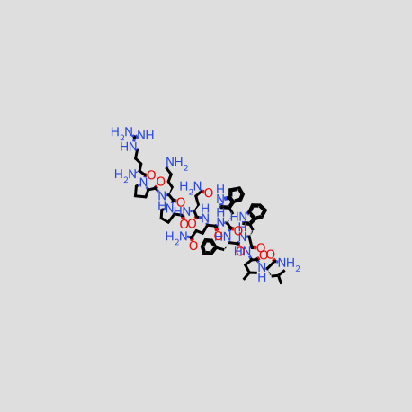 CC(C)CC(NC(=O)[C@@H](Cc1c[nH]c2ccccc12)NC(=O)[C@H](Cc1ccccc1)NC(=O)[C@@H](Cc1c[nH]c2ccccc12)NC(=O)C(CCC(N)=O)NC(=O)[C@H](CCC(N)=O)NC(=O)C1CCCN1C(=O)[C@H](CCCCN)NC(=O)C1CCCN1C(=O)[C@H](N)CCCNC(=N)N)C(=O)N[C@@H](CC(C)C)C(N)=O